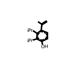 C=C(C)c1ccc(O)c(C(C)C)c1C(C)C